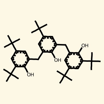 CC(C)(C)c1cc(Cc2cc(C(C)(C)C)cc(C(C)(C)C)c2O)c(O)c(Cc2cc(C(C)(C)C)cc(C(C)(C)C)c2O)c1